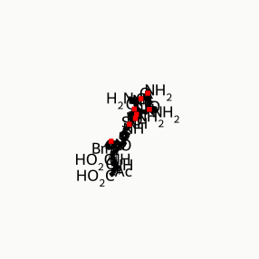 CC(=O)[C@@H](CCC(=O)O)NC(=O)N[C@H](CCCCN(Cc1ccc(Br)nc1)C(=O)C1CCC(CNC(=S)Nc2ccc(CC3CN(CC(N)=O)CCN(CC(N)=O)CCN(CC(N)=O)CCN3CC(N)=O)cc2)CC1)C(=O)O